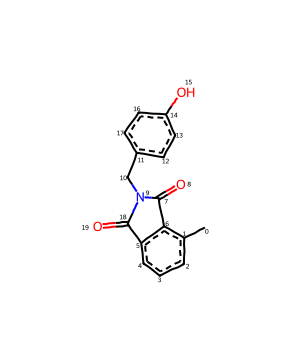 Cc1cccc2c1C(=O)N(Cc1ccc(O)cc1)C2=O